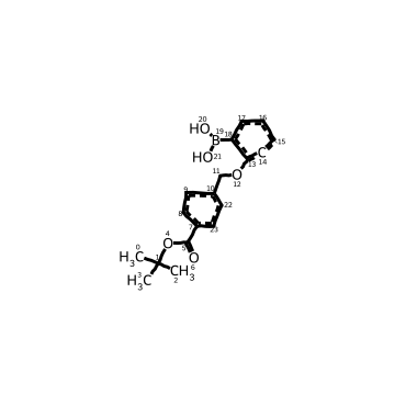 CC(C)(C)OC(=O)c1ccc(COc2ccccc2B(O)O)cc1